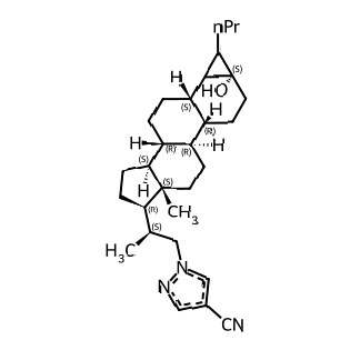 CCCC1C2[C@H]3CC[C@@H]4[C@H](CC[C@]5(C)[C@@H]([C@H](C)Cn6cc(C#N)cn6)CC[C@@H]45)[C@H]3CC[C@]12O